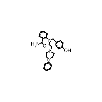 NC(=O)c1ccccc1N(CCN1CCN(c2ccccc2)CC1)Cc1ccc(O)cc1